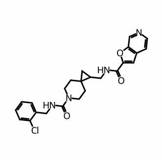 O=C(NCC1CC12CCN(C(=O)NCc1ccccc1Cl)CC2)c1cc2ccncc2o1